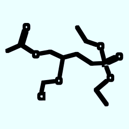 CCOP(=O)(CCC(COC(C)=O)OCCl)OCC